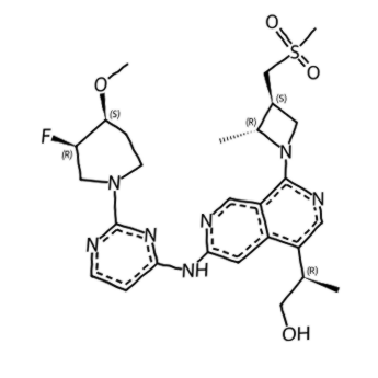 CO[C@H]1CCN(c2nccc(Nc3cc4c([C@@H](C)CO)cnc(N5C[C@H](CS(C)(=O)=O)[C@H]5C)c4cn3)n2)C[C@H]1F